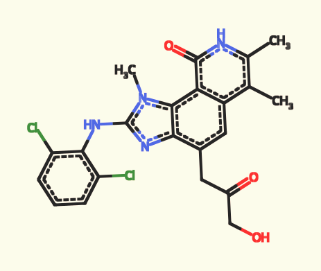 Cc1[nH]c(=O)c2c(cc(CC(=O)CO)c3nc(Nc4c(Cl)cccc4Cl)n(C)c32)c1C